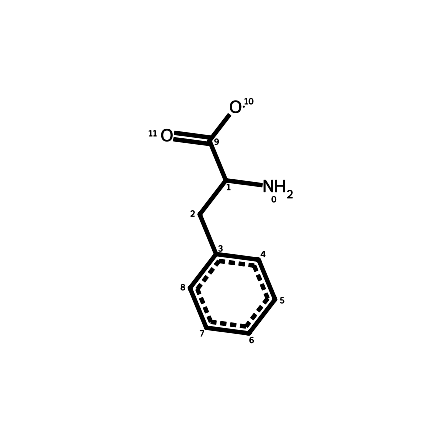 NC(Cc1ccccc1)C([O])=O